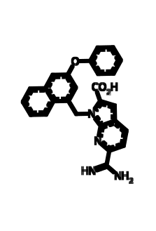 N=C(N)c1ccc2cc(C(=O)O)n(Cc3cc(Oc4ccccc4)cc4ccccc34)c2n1